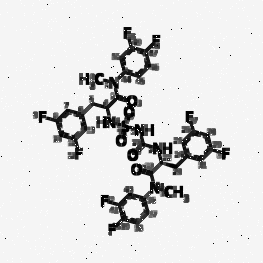 CN(C(=O)C(Cc1cc(F)cc(F)c1)NS(=O)(=O)NC(=O)N[C@@H](Cc1cc(F)cc(F)c1)C(=O)N(C)c1ccc(F)c(F)c1)c1ccc(F)c(F)c1